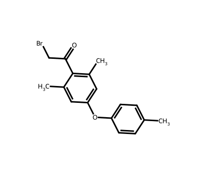 Cc1ccc(Oc2cc(C)c(C(=O)CBr)c(C)c2)cc1